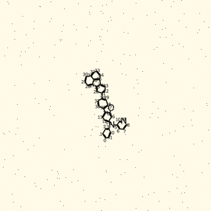 c1ccc(N(c2cccnc2)c2ccc3c(c2)oc2cc(-c4ccc5c(c4)-c4cccc6cccc-5c46)ccc23)cc1